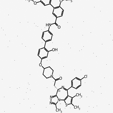 COc1cccc(-c2cc(C(=O)Nc3ccc(-c4ccc(OC5CCN(C(=O)C[C@@H]6N=C(c7ccc(Cl)cc7)c7c(sc(C)c7C)-n7c(C)nnc76)CC5)cc4O)cc3)ccc2OC)c1